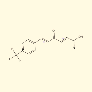 O=C(O)/C=C/C(=O)/C=C/c1ccc(C(F)(F)F)cc1